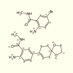 CNC(=O)c1cc(Br)ccc1N.CNC(=O)c1cc(C2=CCC3(CC2)OCCO3)ccc1N